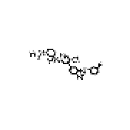 NC1CCCC(Nc2cc(-c3ccc4ncn(Cc5cccc(F)c5)c4c3)c(Cl)cn2)C1